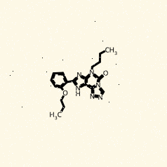 CCCCn1c(=O)n2cnnc2c2[nH]c(-c3ccccc3OCCC)nc21